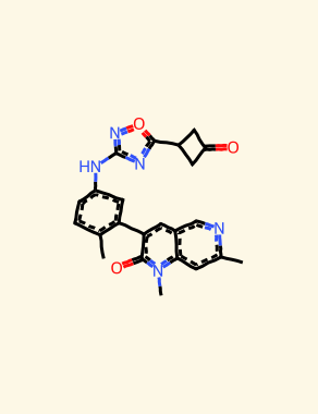 Cc1cc2c(cn1)cc(-c1cc(Nc3noc(C4CC(=O)C4)n3)ccc1C)c(=O)n2C